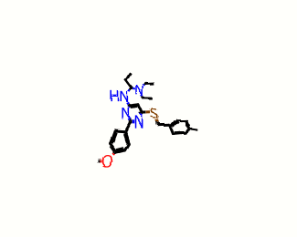 CCC(Nc1cc(SCc2ccc(C)cc2)nc(-c2ccc(OC)cc2)n1)N(CC)CC